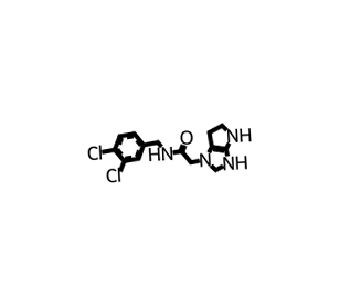 O=C(CN1CNC2=C1CCN2)NCc1ccc(Cl)c(Cl)c1